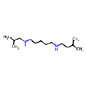 CC(C)CCNCCCCCNCC(C)C